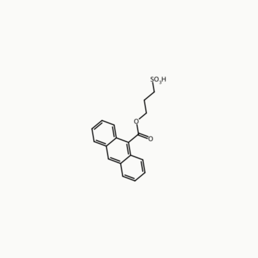 O=C(OCCCS(=O)(=O)O)c1c2ccccc2cc2ccccc12